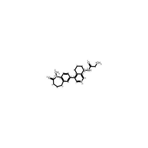 CCC(=O)N[C@@H]1CCCc2c(-c3ccc4c(c3)CCCC(=O)N4C)cncc21